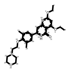 CCOc1cc(OCC)c2c(=O)[nH]c(-c3cc(C)c(OCCN4CCOCC4)c(C)c3)cc2n1